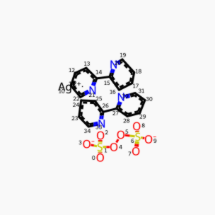 O=S(=O)([O-])OOS(=O)(=O)[O-].[Ag+2].c1ccc(-c2ccccn2)nc1.c1ccc(-c2ccccn2)nc1